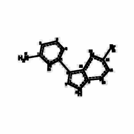 Nc1cccc(-c2c[nH]c3ncc(Br)nc23)n1